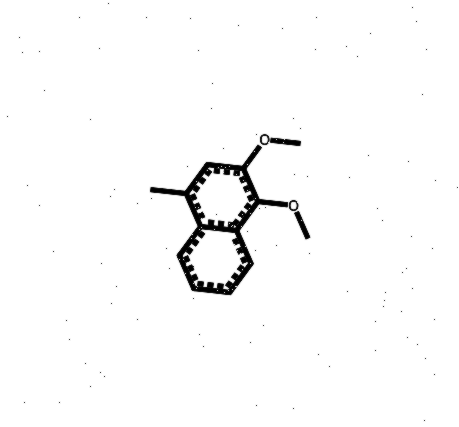 COc1cc(C)c2ccccc2c1OC